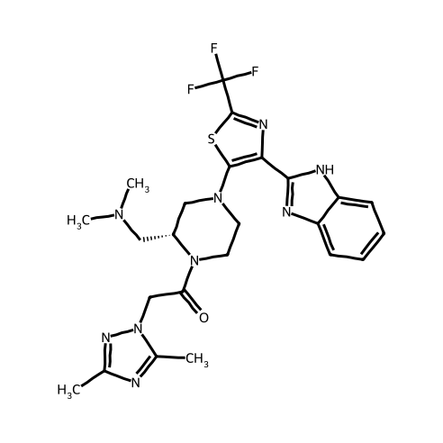 Cc1nc(C)n(CC(=O)N2CCN(c3sc(C(F)(F)F)nc3-c3nc4ccccc4[nH]3)C[C@H]2CN(C)C)n1